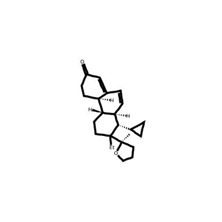 CCC1([C@@]2(C)CCCO2)CC[C@H]2[C@@H](C=CC3=CC(=O)CC[C@@H]32)[C@@H]1C1CC1